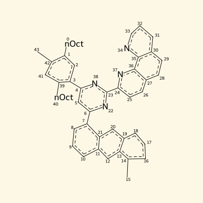 CCCCCCCCc1cc(-c2cc(-c3cccc4cc5c(C)cccc5cc34)nc(-c3ccc4ccc5cccnc5c4n3)n2)c(CCCCCCCC)cc1C